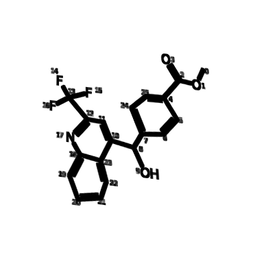 COC(=O)c1ccc(C(O)c2cc(C(F)(F)F)nc3ccccc23)cc1